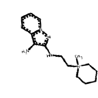 C[N+]1(CCNc2nn3ccccc3c2N)CCCCC1